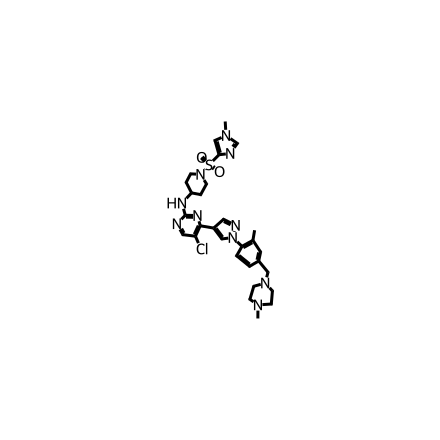 Cc1cc(CN2CCN(C)CC2)ccc1-n1cc(-c2nc(NC3CCN(S(=O)(=O)c4cn(C)cn4)CC3)ncc2Cl)cn1